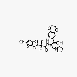 O=C(N[C@H](CN1CCCC1)[C@H](O)c1ccc2c(c1)OCCO2)C(F)(F)c1nc2sc(Cl)cc2o1